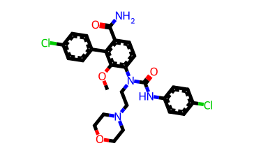 COc1c(N(CCN2CCOCC2)C(=O)Nc2ccc(Cl)cc2)ccc(C(N)=O)c1-c1ccc(Cl)cc1